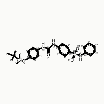 CC(C)(C)[Si](C)(C)Oc1ccc(NC(=O)Nc2ccc(S(=O)(=O)Nc3ccccc3)cc2)cc1